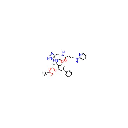 O=C(CCCNc1ccccn1)N[C@@H](Cc1c[nH]cn1)C(=O)NC(CC(=O)OC(=O)C(F)(F)F)c1ccc(-c2ccccc2)cc1